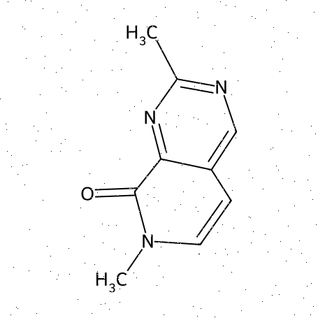 Cc1ncc2ccn(C)c(=O)c2n1